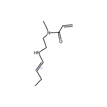 C=CC(=O)N(C)CCN/C=C/CC